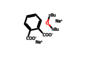 CCCCOCCCC.O=C([O-])c1ccccc1C(=O)[O-].[Na+].[Na+]